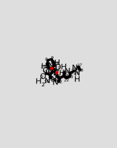 CC(=O)c1c([C@@H]2C[C@H]3CC[C@@H](C2)N3C(=O)[C@H](C)O)nc2c(-c3ccc(-c4ncc[nH]4)nc3)cnn2c1N